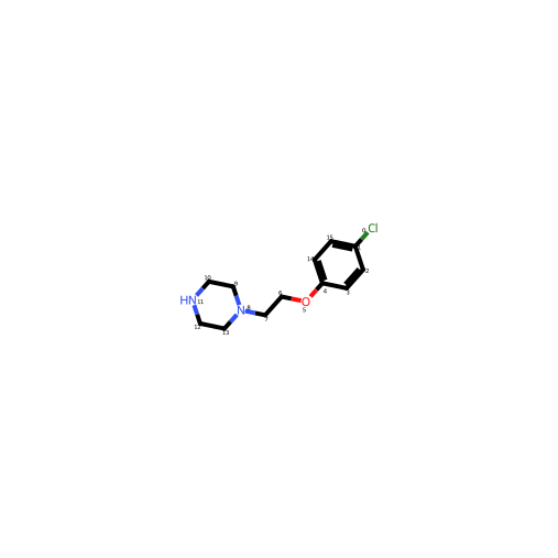 Clc1ccc(OCCN2CCNCC2)cc1